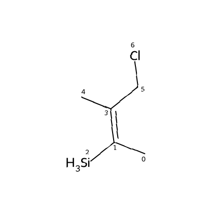 CC([SiH3])=C(C)CCl